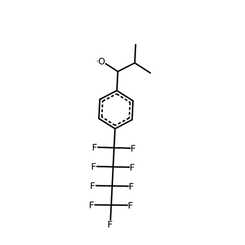 CC(C)C([O])c1ccc(C(F)(F)C(F)(F)C(F)(F)C(F)(F)F)cc1